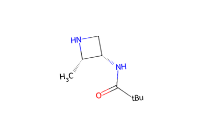 C[C@@H]1NC[C@@H]1NC(=O)C(C)(C)C